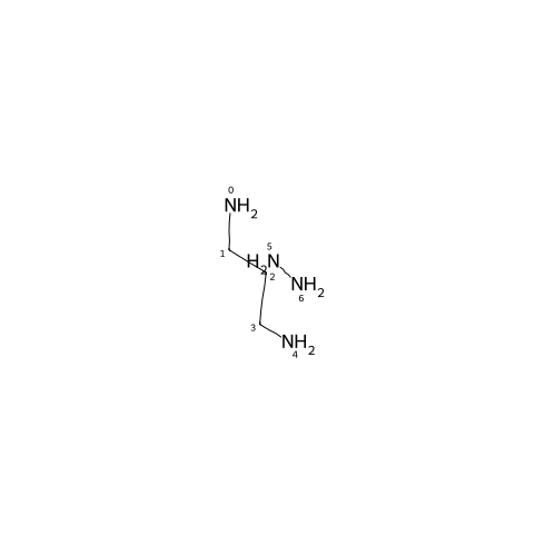 NCCCN.NN